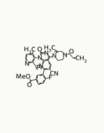 C=CC(=O)N1CCN(c2nc(=O)n(-c3c(C)ccnc3C(C)C)c3nc(-c4cc(C(=O)OC)ccc4F)c(C#N)cc23)[C@@H](C)C1